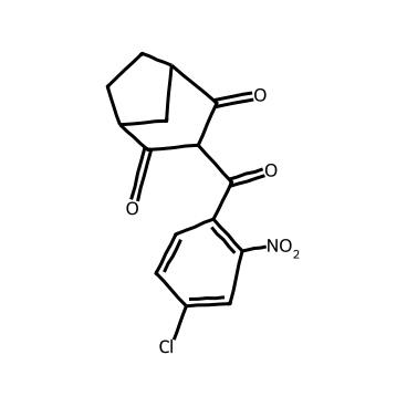 O=C(c1ccc(Cl)cc1[N+](=O)[O-])C1C(=O)C2CCC(C2)C1=O